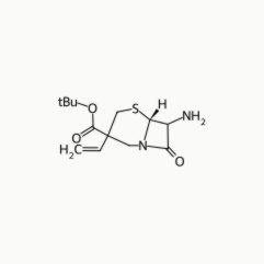 C=CC1(C(=O)OC(C)(C)C)CS[C@@H]2C(N)C(=O)N2C1